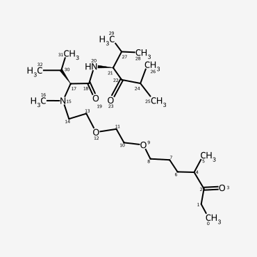 CCC(=O)C(C)CCCOCCOCCN(C)[C@H](C(=O)N[C@H](C(=O)C(C)C)C(C)C)C(C)C